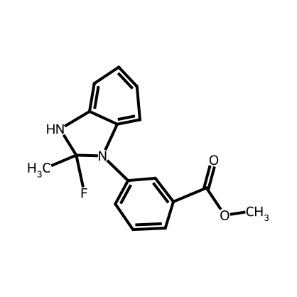 COC(=O)c1cccc(N2c3ccccc3NC2(C)F)c1